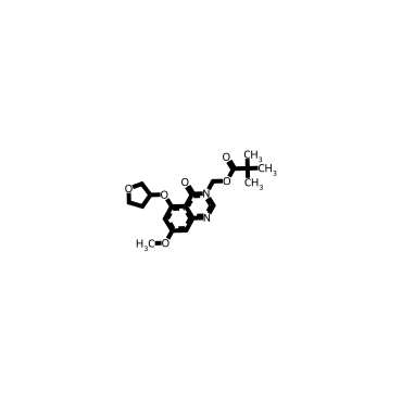 COc1cc(OC2CCOC2)c2c(=O)n(COC(=O)C(C)(C)C)cnc2c1